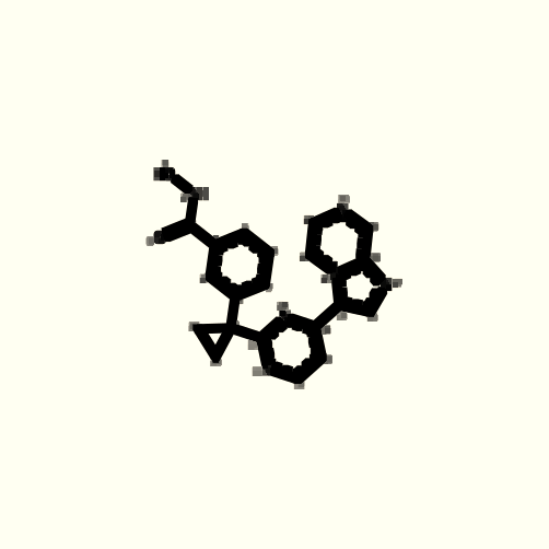 O=C(NO)c1cccc(C2(c3nccc(-c4cnc5cnccn45)n3)CC2)c1